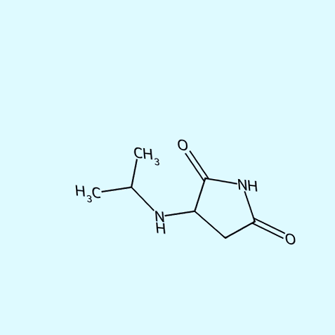 CC(C)NC1CC(=O)NC1=O